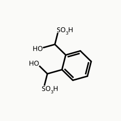 O=S(=O)(O)C(O)c1ccccc1C(O)S(=O)(=O)O